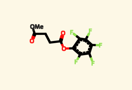 COC(=O)CCC(=O)Oc1c(F)c(F)c(F)c(F)c1F